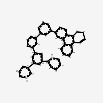 C1=Cc2c(c3ccc(-c4cccc(-c5cccc(-c6cc(-c7cccnc7)cc(-c7ccccn7)c6)c5)c4)cc3c3ccccc23)CC1